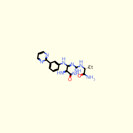 CC[C@@H](NC(=N)/N=C(/Nc1cccc(-c2ncccn2)c1)C(=N)C(N)=O)C(N)=O